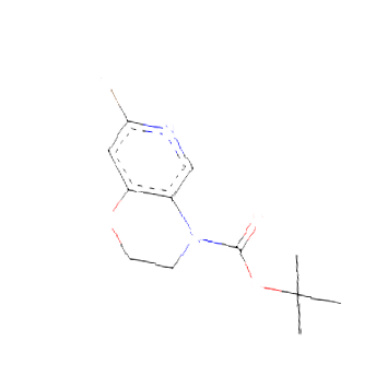 CC(C)(C)OC(=O)N1CCOc2cc(Br)ncc21